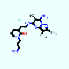 Cc1nn2c(N)c(C#N)c(NCCc3cccn(CCCN)c3=O)nc2c1C.Cl